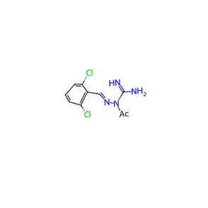 CC(=O)N(/N=C/c1c(Cl)cccc1Cl)C(=N)N